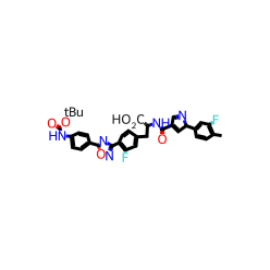 Cc1ccc(C2C=C(C(=O)NC(Cc3ccc(-c4noc(-c5ccc(NC(=O)OC(C)(C)C)cc5)n4)c(F)c3)C(=O)O)C=N2)cc1F